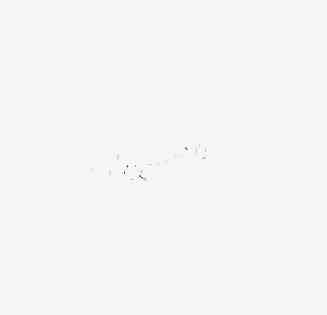 CC1CC(=O)N(CCCCCCC(=O)N2CC[C@H](C)C2)C1=O